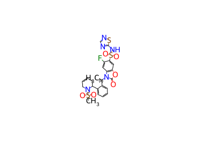 C[C@H](c1ccccc1C1CC=CCN1S(C)(=O)=O)n1c(=O)oc2cc(S(=O)(=O)Nc3ncns3)c(F)cc21